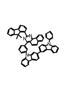 CC1(C)c2ccccc2-c2cccc(-c3nc(-c4cccc(-n5c6ccccc6c6ccc(-c7ccc8c(c7)c7ccccc7n8-c7ccccc7)cc65)c4)c4ccc5ccccc5c4n3)c21